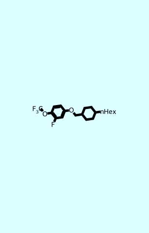 CCCCCCC1CCC(COc2ccc(OC(F)(F)F)c(F)c2)CC1